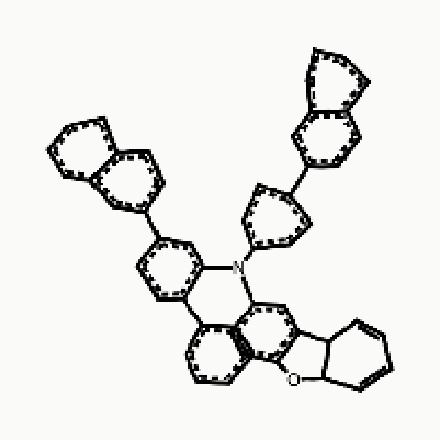 C1=CC2Oc3ccc(N(c4ccc(-c5ccc6ccccc6c5)cc4)c4cc(-c5ccc6ccccc6c5)ccc4-c4ccccc4)cc3C2C=C1